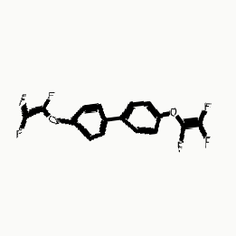 FC(F)=C(F)Oc1ccc(-c2ccc(OC(F)=C(F)F)cc2)cc1